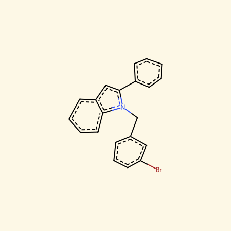 Brc1cccc(Cn2c(-c3ccccc3)cc3ccccc32)c1